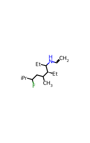 C=CNC(CC)[C@@H](CC)C(C)CC(F)C(C)C